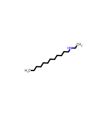 [CH2]CNCCCCCCCCCCCC